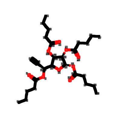 C#C[C@H](OC(=O)CCCC)C1O[C@@H](OC(=O)CCCC)[C@@H](OC(=O)CCCC)[C@@H]1OC(=O)CCCC